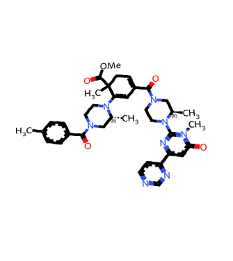 COC(=O)C1(C)CC=C(C(=O)N2CCN(c3nc(-c4ccncn4)cc(=O)n3C)[C@H](C)C2)C=C1N1CCN(C(=O)c2ccc(C)cc2)C[C@H]1C